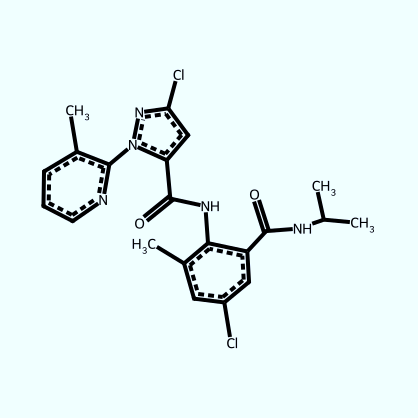 Cc1cccnc1-n1nc(Cl)cc1C(=O)Nc1c(C)cc(Cl)cc1C(=O)NC(C)C